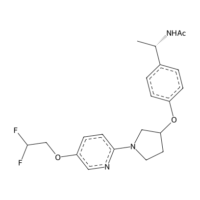 CC(=O)N[C@@H](C)c1ccc(OC2CCN(c3ccc(OCC(F)F)cn3)C2)cc1